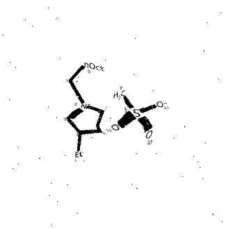 CCCCCCCCC[N+]1=CC(CC)CC1.CS(=O)(=O)[O-]